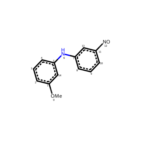 COc1cccc(Nc2cccc(N=O)c2)c1